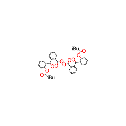 CCC(C)C(=O)Oc1ccccc1C(=O)c1ccccc1C(=O)OOC(=O)c1ccccc1C(=O)c1ccccc1OC(=O)C(C)CC